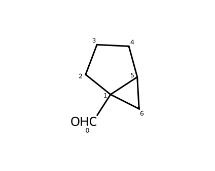 O=CC12CCCC1C2